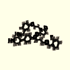 O=C1CCC(=O)N1CCOc1cccc(CNC2CNCCC2c2ccc(OCCCOCc3ccccc3F)cc2)c1